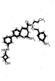 CCCN(OCc1ccc(N)cc1)C(=O)C1=Cc2ccc(-c3cccc(SNC4CC(O)C4)c3)cc2N=C(N)C1